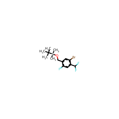 CC(C)(C)[Si](C)(C)OCc1cc(Br)c(C(F)F)cc1F